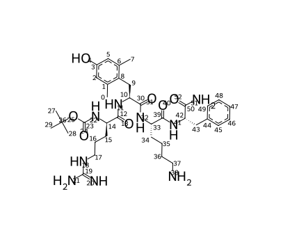 Cc1cc(O)cc(C)c1C[C@H](NC(=O)[C@@H](CCCNC(=N)N)NC(=O)OC(C)(C)C)C(=O)N[C@@H](CCCCN)C(=O)N[C@@H](Cc1ccccc1)C(N)=O